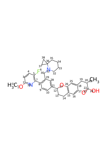 COc1ccc(F)c(-c2ccc(C3CCc4ccc(CC(C)C(=O)O)cc4O3)cc2CN2CCCCC23CC3)n1